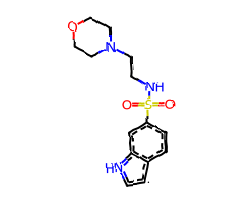 O=S(=O)(NCCN1CCOCC1)c1ccc2[c]c[nH]c2c1